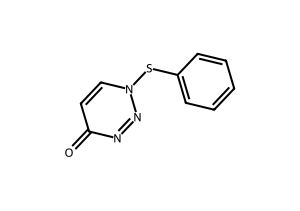 O=c1ccn(Sc2ccccc2)nn1